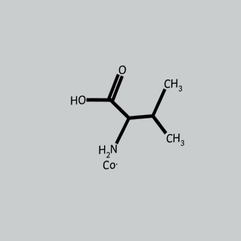 CC(C)C(N)C(=O)O.[Co]